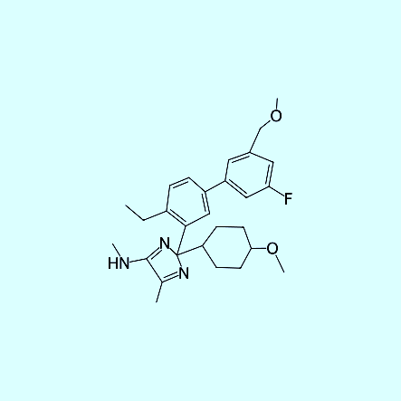 CCc1ccc(-c2cc(F)cc(COC)c2)cc1C1(C2CCC(OC)CC2)N=C(C)C(NC)=N1